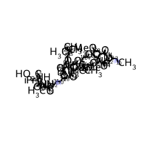 C/C=C/C1=CN2C(=O)c3cc(OC)c(OCCCOc4cc5c(cc4OC)C(=O)N4C=C(/C=C/CNC(=O)[C@H](C)NC(=O)[C@@H](NC(=O)O)C(C)C)C[C@H]4C(=O)N5COCC[Si](C)(C)C)cc3N(COCC[Si](C)(C)C)C(=O)[C@@H]2C1